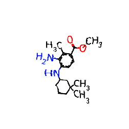 COC(=O)c1ccc(NC2CCCC(C)(C)C2)c(N)c1C